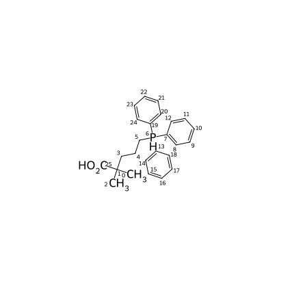 CC(C)(CCC[PH](c1ccccc1)(c1ccccc1)c1ccccc1)C(=O)O